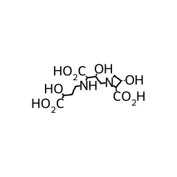 O=C(O)C(O)CCN[C@H](C(=O)O)[C@@H](O)CN1C[C@H](O)[C@H]1C(=O)O